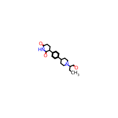 CCC(C=O)N1CCC(c2ccc(C3CCC(=O)NC3=O)cc2)CC1